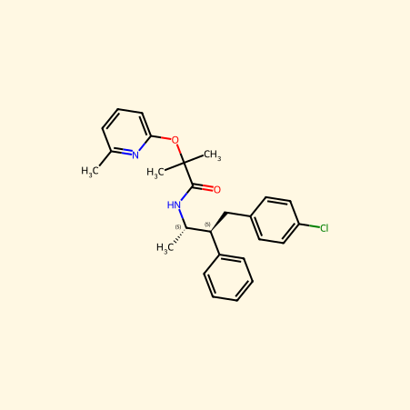 Cc1cccc(OC(C)(C)C(=O)N[C@@H](C)[C@@H](Cc2ccc(Cl)cc2)c2ccccc2)n1